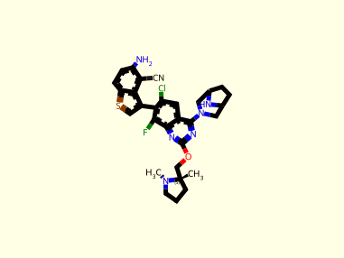 CN1CCC[C@@]1(C)COc1nc(N2CC3CCC(C2)N3)c2cc(Cl)c(-c3csc4ccc(N)c(C#N)c34)c(F)c2n1